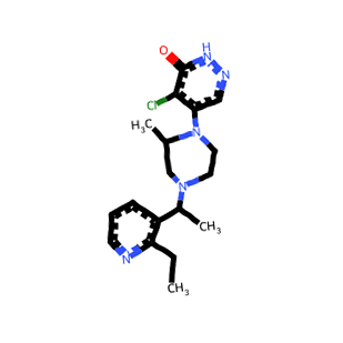 CCc1ncccc1C(C)N1CCN(c2cn[nH]c(=O)c2Cl)C(C)C1